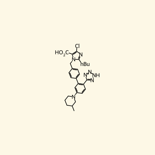 CCCCc1nc(Cl)c(C(=O)O)n1Cc1ccc(-c2cc(N3CCCC(C)C3)ccc2-c2nn[nH]n2)cc1